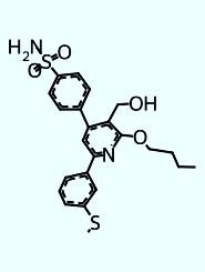 CCCCOc1nc(-c2cccc(SC)c2)cc(-c2ccc(S(N)(=O)=O)cc2)c1CO